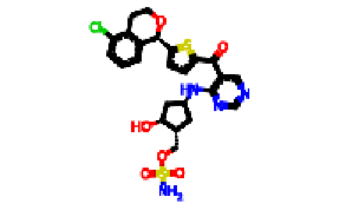 NS(=O)(=O)OC[C@H]1C[C@@H](Nc2ncncc2C(=O)c2ccc([C@@H]3OCCc4c(Cl)cccc43)s2)C[C@@H]1O